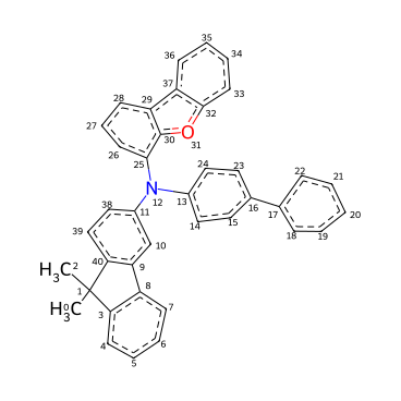 CC1(C)c2ccccc2-c2cc(N(c3ccc(-c4ccccc4)cc3)c3cccc4c3oc3ccccc34)ccc21